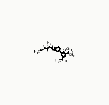 CCOC(=O)C(F)=C(C)c1cc2cc(-c3cc(C(C)C)cc(C(C)C)c3OC)ccc2o1